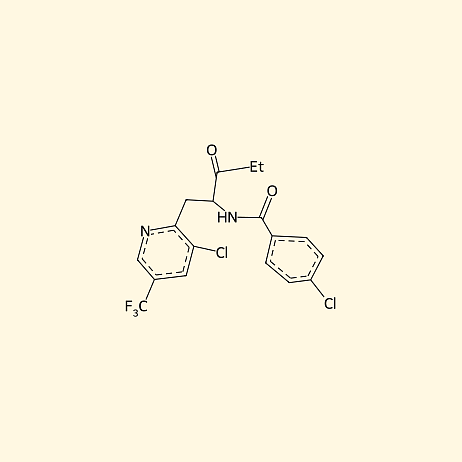 CCC(=O)C(Cc1ncc(C(F)(F)F)cc1Cl)NC(=O)c1ccc(Cl)cc1